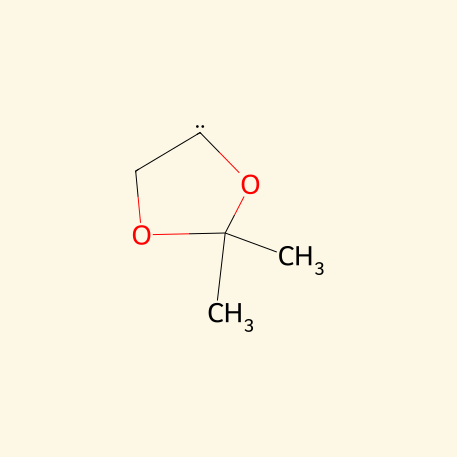 CC1(C)O[C]CO1